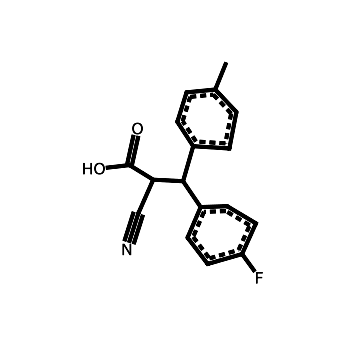 Cc1ccc(C(c2ccc(F)cc2)C(C#N)C(=O)O)cc1